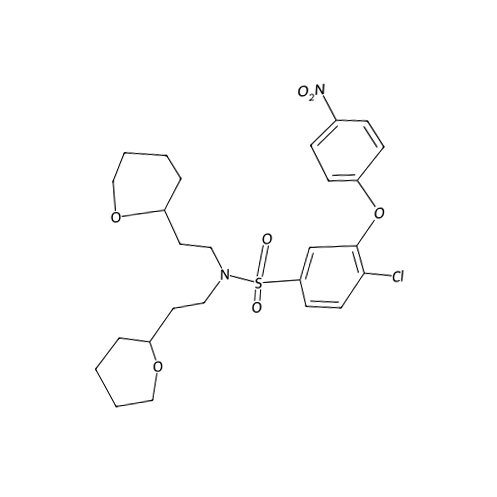 O=[N+]([O-])c1ccc(Oc2cc(S(=O)(=O)N(CCC3CCCCO3)CCC3CCCCO3)ccc2Cl)cc1